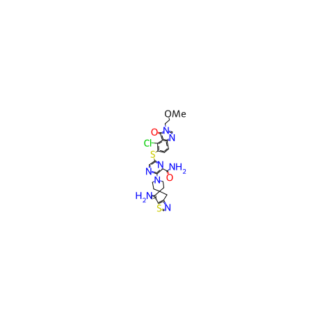 COCCn1cnc2ccc(Sc3cnc(N4CCC5(CC4)Cc4ncsc4[C@H]5N)c(C(N)=O)n3)c(Cl)c2c1=O